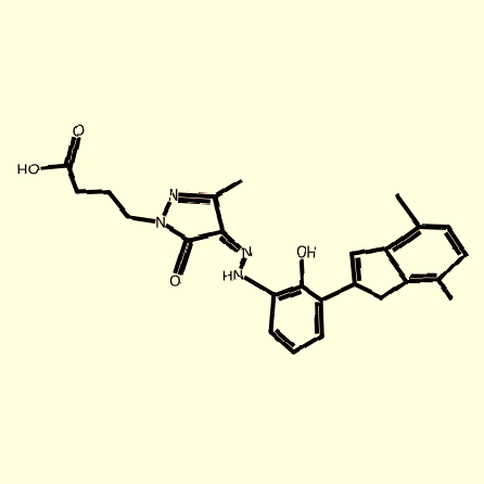 CC1=NN(CCCC(=O)O)C(=O)/C1=N\Nc1cccc(C2=Cc3c(C)ccc(C)c3C2)c1O